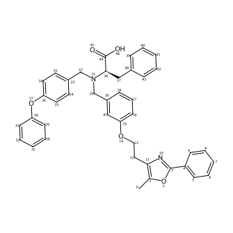 Cc1oc(-c2ccccc2)nc1CCOc1cccc(CN(Cc2ccc(Oc3ccccc3)cc2)[C@H](Cc2ccccc2)C(=O)O)c1